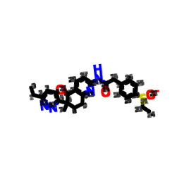 CCc1ccc(C2(C)CCc3nc(NC(=O)Cc4ccc([S+]([O-])CC)cc4)ccc3C2=O)nn1